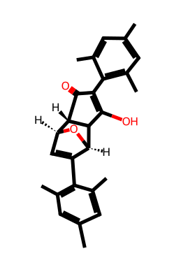 Cc1cc(C)c(C2=C[C@@H]3O[C@H]2C2C(O)=C(c4c(C)cc(C)cc4C)C(=O)[C@H]23)c(C)c1